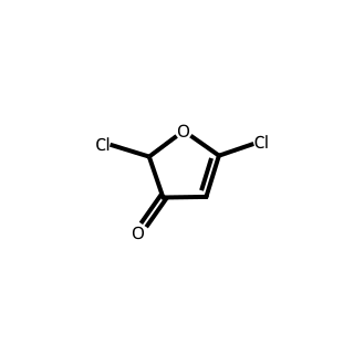 O=C1C=C(Cl)OC1Cl